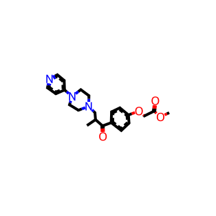 COC(=O)COc1ccc(C(=O)C(C)CN2CCN(c3ccncc3)CC2)cc1